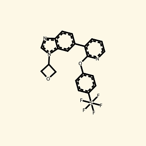 FS(F)(F)(F)(F)c1ccc(Oc2ncccc2-c2ccc3ncn(C4COC4)c3c2)cc1